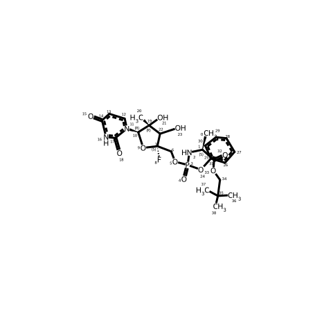 C[C@H](NP(=O)(OC[C@@]1(F)O[C@@H](n2ccc(=O)[nH]c2=O)[C@](C)(O)C1O)Oc1ccccc1)C(=O)OCC(C)(C)C